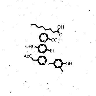 CC(=O)OCc1ccccc1.CCCCCCCC(=O)O.CCc1ccc(C=O)cc1.Cc1ccc(O)c(C)c1.O=C(O)c1ccccc1